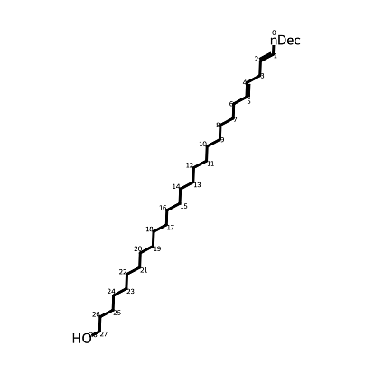 CCCCCCCCCC/C=C/C/C=C/CCCCCCCCCCCCCCCCCCCCCCO